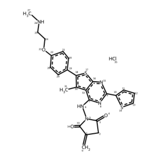 C=C1CC(=O)N(Nc2nc(-c3cccs3)nc3sc(-c4ccc(OCCNC)cc4)c(C)c23)C1=O.Cl